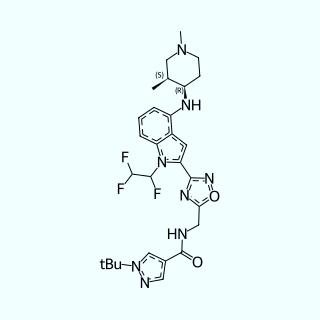 C[C@H]1CN(C)CC[C@H]1Nc1cccc2c1cc(-c1noc(CNC(=O)c3cnn(C(C)(C)C)c3)n1)n2C(F)C(F)F